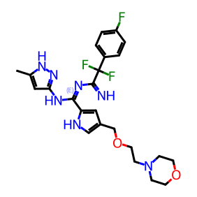 Cc1cc(N/C(=N/C(=N)C(F)(F)c2ccc(F)cc2)c2cc(COCCN3CCOCC3)c[nH]2)n[nH]1